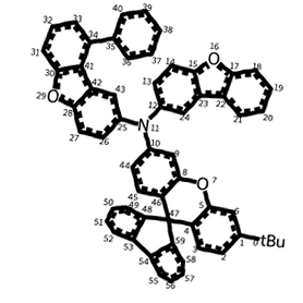 CC(C)(C)c1ccc2c(c1)Oc1cc(N(c3ccc4oc5ccccc5c4c3)c3ccc4oc5cccc(-c6ccccc6)c5c4c3)ccc1C21c2ccccc2-c2ccccc21